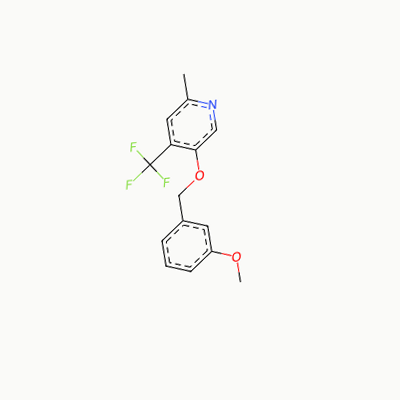 COc1cccc(COc2cnc(C)cc2C(F)(F)F)c1